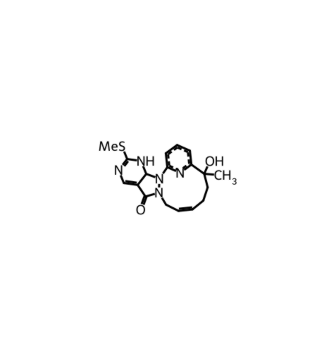 CSC1=NC=C2C(=O)N3C/C=C\CCC(C)(O)c4cccc(n4)N3C2N1